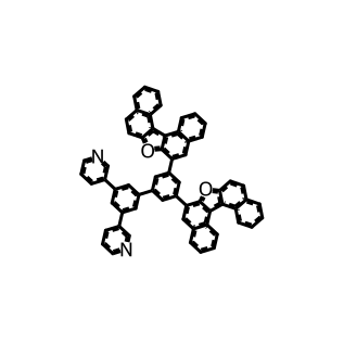 c1cncc(-c2cc(-c3cccnc3)cc(-c3cc(-c4cc5ccccc5c5c4oc4ccc6ccccc6c45)cc(-c4cc5ccccc5c5c4oc4ccc6ccccc6c45)c3)c2)c1